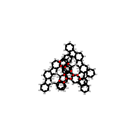 c1ccc(-c2nc(-n3c4ccccc4c4ccc5c6ccc7c8ccccc8n(-c8ccccc8)c7c6n(-c6ccccc6)c5c43)nc(-n3c4ccccc4c4ccc5c6ccc7c8ccccc8n(-c8cccc(-n9c%10ccccc%10c%10cc%11c(cc%109)c9ccccc9n%11-c9ccccc9)c8)c7c6n(-c6ccccc6)c5c43)n2)cc1